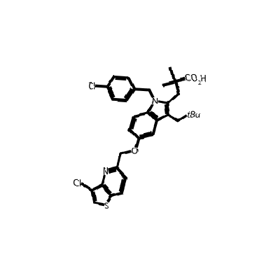 CC(C)(C)Cc1c(CC(C)(C)C(=O)O)n(Cc2ccc(Cl)cc2)c2ccc(OCc3ccc4scc(Cl)c4n3)cc12